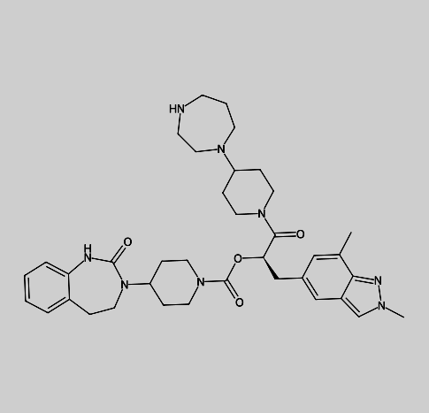 Cc1cc(C[C@@H](OC(=O)N2CCC(N3CCc4ccccc4NC3=O)CC2)C(=O)N2CCC(N3CCCNCC3)CC2)cc2cn(C)nc12